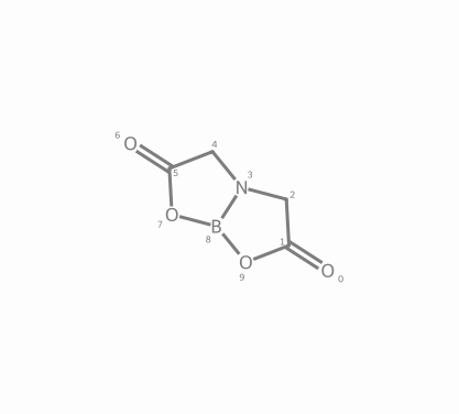 O=C1CN2CC(=O)OB2O1